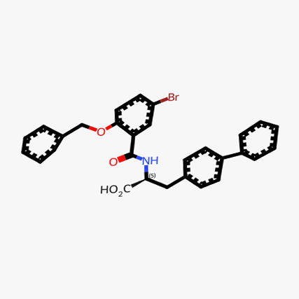 O=C(N[C@@H](Cc1ccc(-c2ccccc2)cc1)C(=O)O)c1cc(Br)ccc1OCc1ccccc1